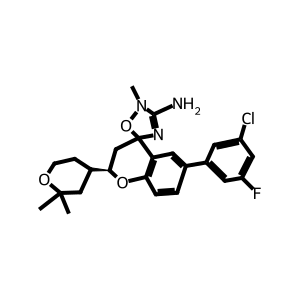 CN1OC2(C[C@H](C3CCOC(C)(C)C3)Oc3ccc(-c4cc(F)cc(Cl)c4)cc32)N=C1N